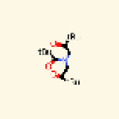 CC(C)(C)C(=O)CN(CC(=O)C(C)(C)C)C(=O)C(C)(C)C